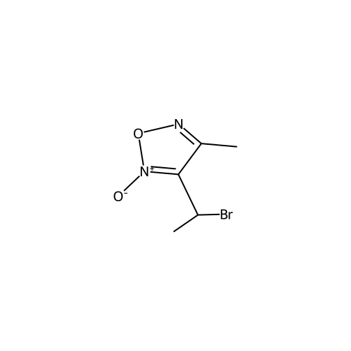 Cc1no[n+]([O-])c1C(C)Br